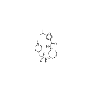 CC(C)c1cc(C(=O)N[C@H]2CC=CC[C@H](NS(=O)(=O)CC3CCN(C)CC3)C2)no1